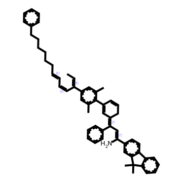 C\C=C(/C=C\C=C\CCCCCCc1ccccc1)c1cc(C)c(C2=C/C(=C(/C=C(\N)c3ccc4c(c3)C(C)(C)c3ccccc3-4)c3ccccc3)CC=C2)c(C)c1